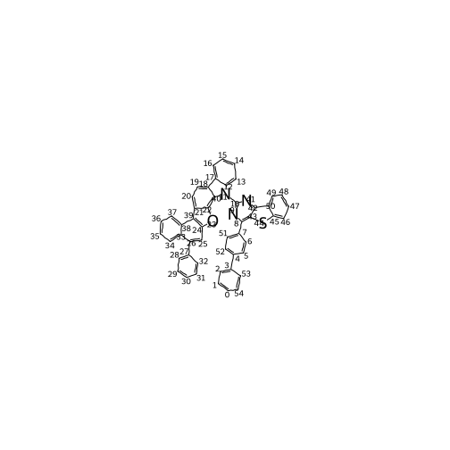 c1ccc(-c2ccc(-c3nc(-n4c5ccccc5c5ccc6c(oc7cc(-c8ccccc8)c8ccccc8c76)c54)nc4c3sc3ccccc34)cc2)cc1